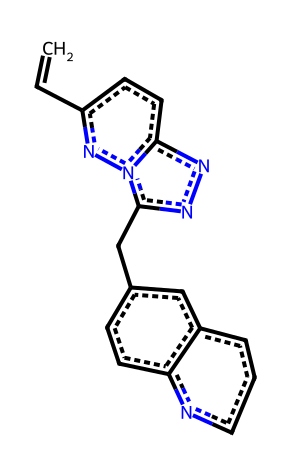 C=Cc1ccc2nnc(Cc3ccc4ncccc4c3)n2n1